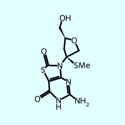 CS[C@]1(n2c(=O)sc3c(=O)[nH]c(N)nc32)CO[C@H](CO)C1